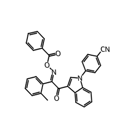 Cc1ccccc1/C(=N\OC(=O)c1ccccc1)C(=O)c1cn(-c2ccc(C#N)cc2)c2ccccc12